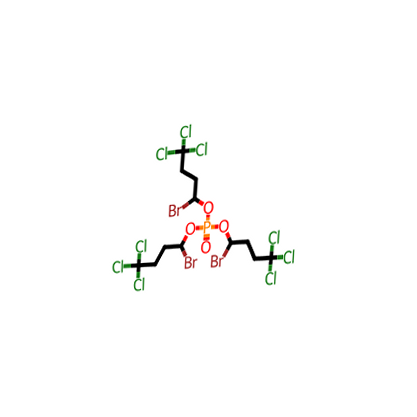 O=P(OC(Br)CCC(Cl)(Cl)Cl)(OC(Br)CCC(Cl)(Cl)Cl)OC(Br)CCC(Cl)(Cl)Cl